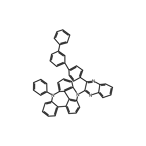 c1ccc(-c2cccc(-c3ccc(-c4nc5ccccc5nc4-n4c5cccc6c7ccccc7n(-c7ccccc7)c7cccc4c7c65)cc3)c2)cc1